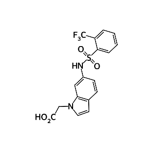 O=C(O)Cn1ccc2ccc(NS(=O)(=O)c3ccccc3C(F)(F)F)cc21